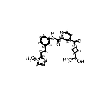 CC(O)C1CN(C(=O)c2ccnc(C(=O)Nc3cccc(CCc4nncn4C)c3)c2)C1